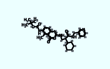 Cc1c(NC(=O)OC(C)(C)C)ccc2nc(NCC(C(=O)NCc3cccnc3)C3CCCCC3)oc(=O)c12